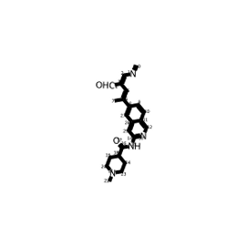 C=N/C=C(C=O)\C=C(/C)c1ccc2cnc(NC(=O)C3CCN(C)CC3)cc2c1